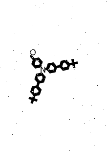 CC(C)(C)c1ccc(-c2ccc(N(c3ccc(C=O)cc3)c3ccc(-c4ccc(C(C)(C)C)cc4)cc3)cc2)cc1